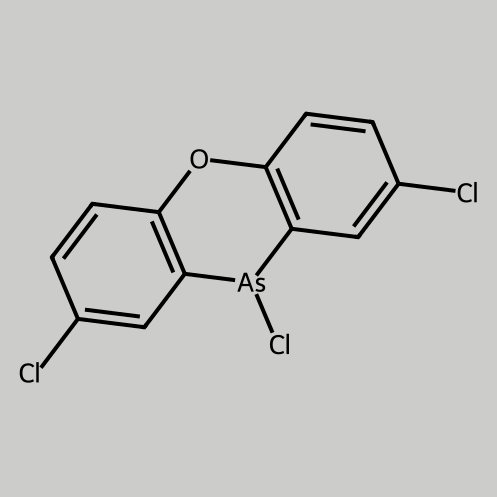 Clc1ccc2c(c1)[As](Cl)c1cc(Cl)ccc1O2